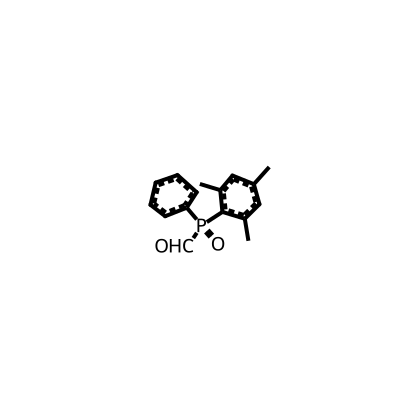 Cc1cc(C)c(P(=O)(C=O)c2ccccc2)c(C)c1